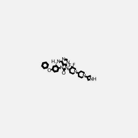 Nc1ncnc2c1n(-c1ccc(Oc3ccccc3)cc1)c(=O)n2[C@H]1CCN(C2CCN(C3CNC3)CC2)CC1(F)F